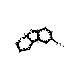 Pc1ccc2sc3ccccc3c2c1